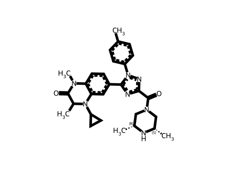 Cc1ccc(-n2nc(C(=O)N3C[C@@H](C)N[C@@H](C)C3)nc2-c2ccc3c(c2)N(C2CC2)C(C)C(=O)N3C)cc1